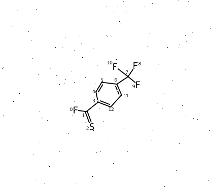 FC(=S)c1ccc(C(F)(F)F)cc1